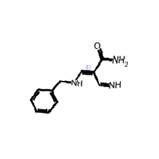 N=C/C(=C\NCc1ccccc1)C(N)=O